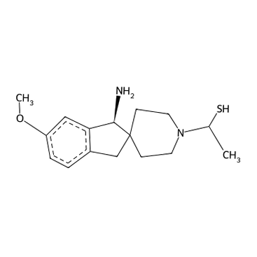 COc1ccc2c(c1)[C@@H](N)C1(CCN(C(C)S)CC1)C2